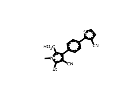 CCc1c(C#N)c(-c2ccc(-c3sccc3C#N)cc2)c(C(=O)O)n1C